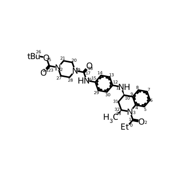 CCC(=O)N1c2ccccc2[C@H](Nc2ccc(NC(=O)N3CCN(C(=O)OC(C)(C)C)CC3)cc2)C[C@@H]1C